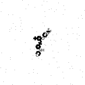 CC(C)(C)c1ccc(OC2CCN(CC(F)(F)F)CC2)c(CC(C)(C)c2cccc(NC3CCOCC3)c2)c1